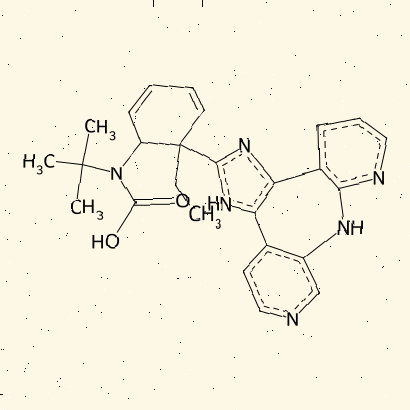 CCC1(c2nc3c([nH]2)-c2ccncc2Nc2ncccc2-3)C=CC=CC1N(C(=O)O)C(C)(C)C